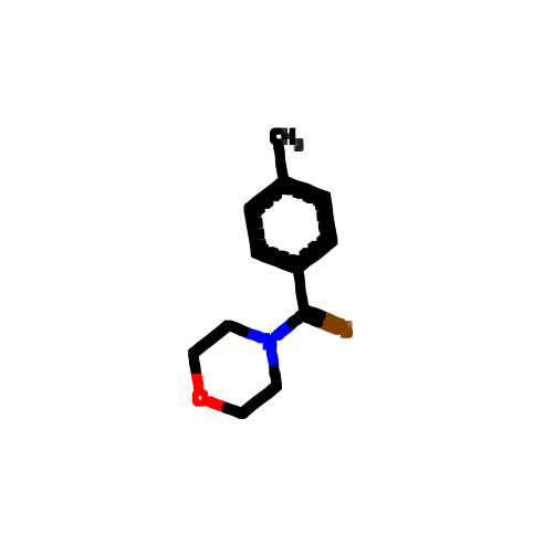 Cc1ccc(C(=S)N2CCOCC2)cc1